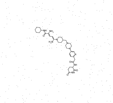 N/C(=C\C=C(/N)N1CCC(CN2CCN(c3ccc(CC(=O)NC4CCC(=O)NC4=O)nc3)CC2)CC1)C(=O)NC1CCCCC1